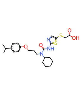 CC(C)c1ccc(OCCCN(C(=O)Nc2ncc(SCC(=O)O)s2)C2CCCCC2)cc1